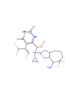 COC1c2[nH]c(=O)[nH]c(=O)c2C(C(F)F)=C(F)C1(C1CC1)N1CC2CCCC(F)(F)C(N)C2C1